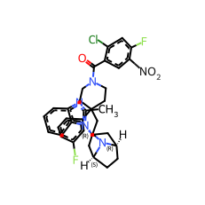 Cc1nc2ccccc2n1[C@H]1C[C@H]2CC[C@@H](C1)N2CCC1(c2cccc(F)c2)CCN(C(=O)c2cc([N+](=O)[O-])c(F)cc2Cl)CC1